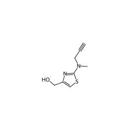 C#CCN(C)c1nc(CO)cs1